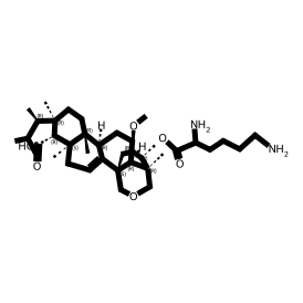 CO[C@@H]1C[C@]23COC[C@@](C)([C@@H]2CC[C@H]2C3=CC[C@@]3(C)[C@H](C(=O)O)[C@@](C)([C@H](C)C(C)C)CC[C@]23C)[C@H]1OC(=O)C(N)CCCCN